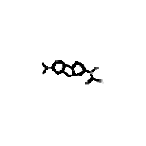 CN(C)c1ccc2c(c1)Cc1cc(N(S)C(N)=O)ccc1-2